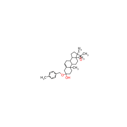 CC(=O)C1(C)CCC2C3CC=C4CC(O)(OCc5ccc(C)cc5)CCC4(C)C3CCC21C